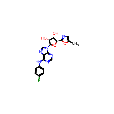 Cc1cnc([C@H]2O[C@@H](n3cnc4c(Nc5ccc(F)cc5)ncnc43)[C@H](O)[C@@H]2O)o1